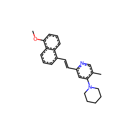 COc1cccc2c(/C=C/c3cc(N4CCCCC4)c(C)cn3)cccc12